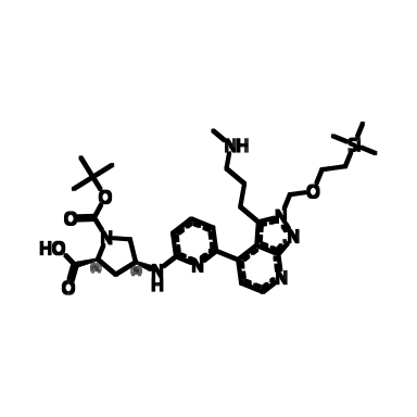 CNCCCc1c2c(-c3cccc(N[C@H]4C[C@@H](C(=O)O)N(C(=O)OC(C)(C)C)C4)n3)ccnc2nn1COCC[Si](C)(C)C